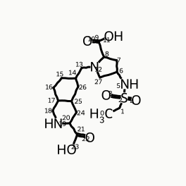 CCS(=O)(=O)NC1CC(C(=O)O)N(CC2CCC3CNC(C(=O)O)CC3C2)C1